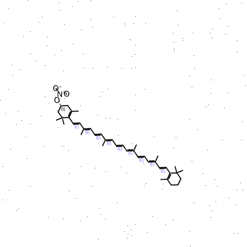 CC1=C(/C=C/C(C)=C/C=C/C(C)=C/C=C/C=C(C)/C=C/C=C(C)/C=C/C2=C(C)C[C@@H](O[N+](=O)[O-])CC2(C)C)C(C)(C)CCC1